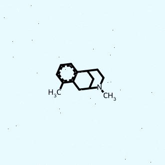 Cc1cccc2c1CC1CC2CCN1C